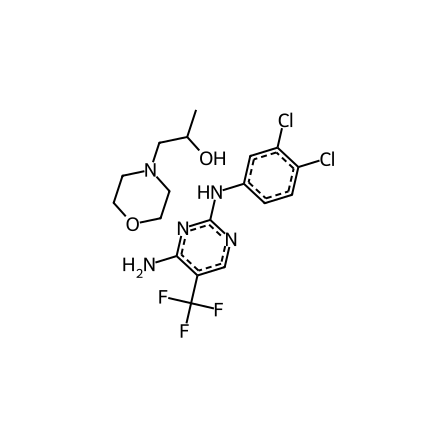 CC(O)CN1CCOCC1.Nc1nc(Nc2ccc(Cl)c(Cl)c2)ncc1C(F)(F)F